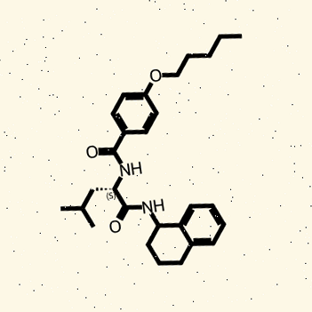 CCCCCOc1ccc(C(=O)N[C@@H](CC(C)C)C(=O)NC2CCCc3ccccc32)cc1